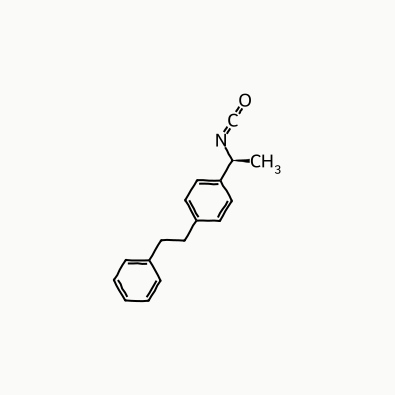 C[C@H](N=C=O)c1ccc(CCc2ccccc2)cc1